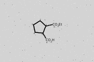 CCOC(=O)C1CCCC1C(=O)O